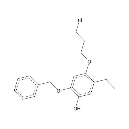 CCc1cc(O)c(OCc2ccccc2)cc1OCCCCl